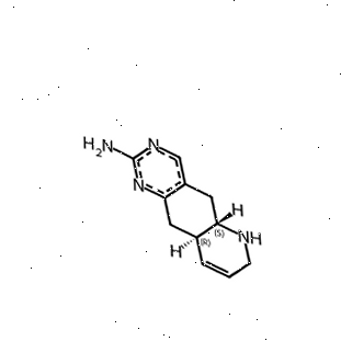 Nc1ncc2c(n1)C[C@@H]1C=CCN[C@H]1C2